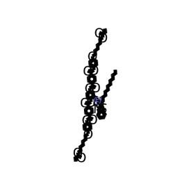 C=CC(=O)OCCCCCCOc1ccc(OC(=O)[C@H]2CC[C@H](C(=O)Oc3ccc(OC(=O)[C@H]4CC[C@H](C(=O)Oc5ccc(OCCCCCCOC(=O)C=C)cc5)CC4)c(/C=N/N(CCCCCCCCCCCC)c4nc5ccccc5s4)c3)CC2)cc1